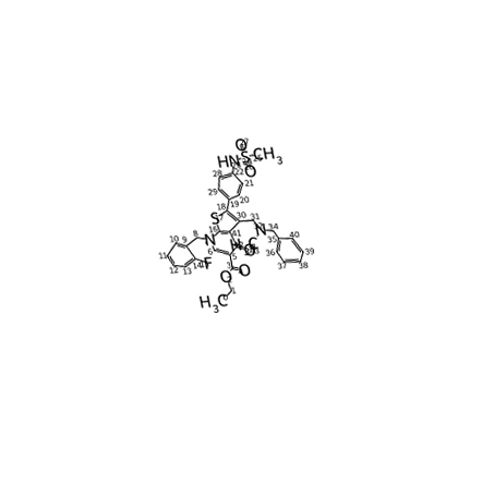 CCOC(=O)c1cn(Cc2ccccc2F)c2sc(-c3ccc(NS(C)(=O)=O)cc3)c(CN(C)Cc3ccccc3)c2c1=O